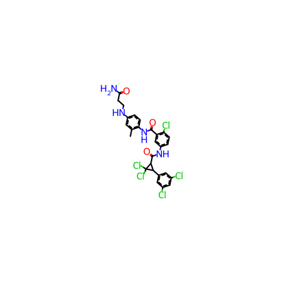 Cc1cc(NCCC(N)=O)ccc1NC(=O)c1cc(NC(=O)C2C(c3cc(Cl)cc(Cl)c3)C2(Cl)Cl)ccc1Cl